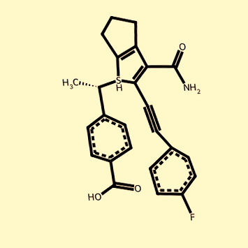 C[C@@H](c1ccc(C(=O)O)cc1)[SH]1C(C#Cc2ccc(F)cc2)=C(C(N)=O)C2=C1CCC2